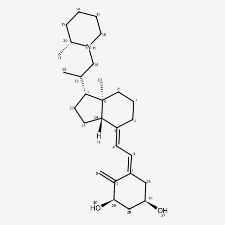 C=C1/C(=C\C=C2/CCC[C@]3(C)[C@@H](C(C)CN4CCCC[C@H]4C)CC[C@@H]23)C[C@@H](O)C[C@H]1O